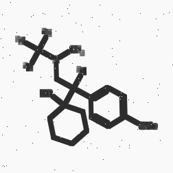 [2H]C([2H])([2H])N(C)CC([2H])(c1ccc(OC)cc1)C1(O)CCCCC1